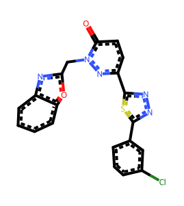 O=c1ccc(-c2nnc(-c3cccc(Cl)c3)s2)nn1Cc1nc2ccccc2o1